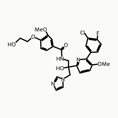 COc1cc(C(=O)NCC(O)(Cn2ccnc2)c2ccc(OC)c(-c3ccc(F)c(Cl)c3)n2)ccc1OCCO